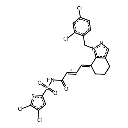 O=C(/C=C/C=C1CCCc2cnn(Cc3ccc(Cl)cc3Cl)c21)NS(=O)(=O)c1cc(Cl)c(Cl)s1